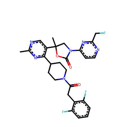 Cc1ncc(C2(C)CN(c3ccnc(CF)n3)C(=O)O2)c(C2CCN(C(=O)Cc3c(F)cccc3F)CC2)n1